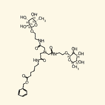 C[C@@H]1O[C@@H](OCCNC(=O)CN(CC(=O)NCCCCCC(=O)OCc2ccccc2)CC(=O)NCCO[C@@H]2O[C@@H](C)[C@@H](O)[C@@H](O)[C@@H]2O)[C@@H](O)[C@H](O)[C@@H]1O